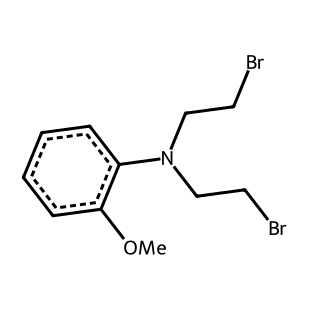 COc1ccccc1N(CCBr)CCBr